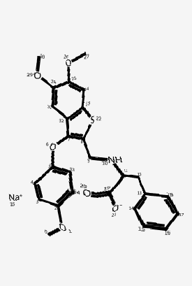 COc1ccc(Oc2c(CNC(Cc3ccccc3)C(=O)[O-])sc3cc(OC)c(OC)cc23)cc1.[Na+]